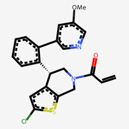 C=CC(=O)N1Cc2sc(Cl)cc2[C@H](c2ccccc2-c2cncc(OC)c2)C1